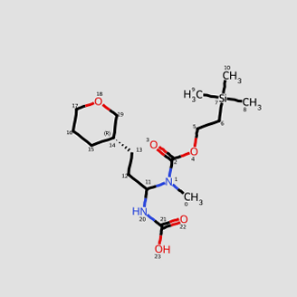 CN(C(=O)OCC[Si](C)(C)C)C(CC[C@@H]1CCCOC1)NC(=O)O